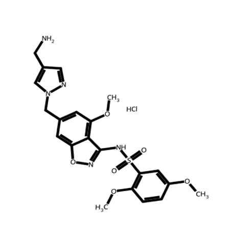 COc1ccc(OC)c(S(=O)(=O)Nc2noc3cc(Cn4cc(CN)cn4)cc(OC)c23)c1.Cl